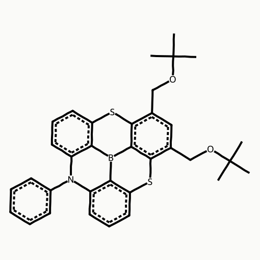 CC(C)(C)OCc1cc(COC(C)(C)C)c2c3c1Sc1cccc4c1B3c1c(cccc1N4c1ccccc1)S2